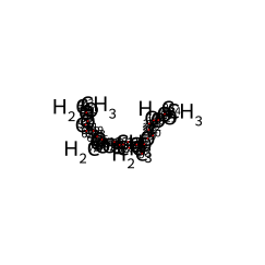 C=CC(=O)OC(COc1ccc2cc(C(=O)OCCOC(=O)C(=C)C)ccc2c1)COC1CCC(C(C)(C)C2CCC(OCC(COc3ccc4cc(C(=O)OCCOC(=O)C(=C)C)ccc4c3)OC(=O)C=C)CC2)CC1